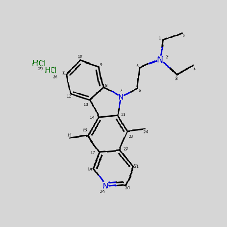 CCN(CC)CCn1c2ccccc2c2c(C)c3cnccc3c(C)c21.Cl.Cl